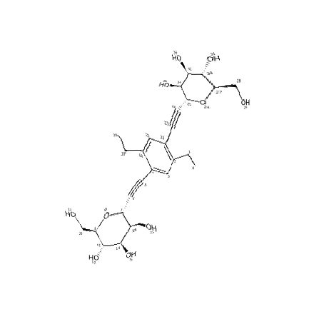 CCc1cc(C#C[C@H]2O[C@H](CO)[C@@H](O)[C@H](O)[C@@H]2O)c(CC)cc1C#C[C@H]1O[C@H](CO)[C@@H](O)[C@H](O)[C@@H]1O